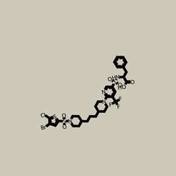 O=C(O)C(Cc1ccccc1)NS(=O)(=O)c1cnc(N2CCC(CCCC3CCN(S(=O)(=O)c4cc(Br)c(Cl)s4)CC3)CC2)c(C(F)(F)F)c1